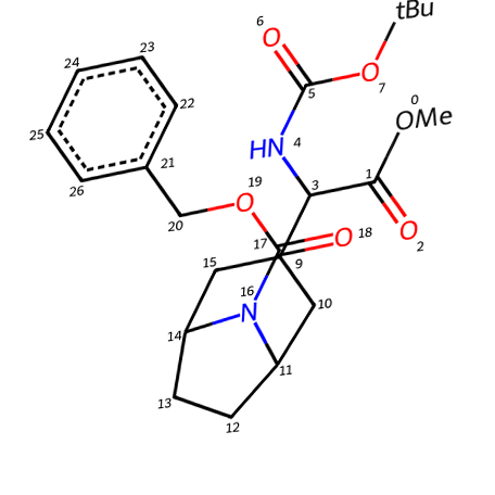 COC(=O)C(NC(=O)OC(C)(C)C)C1CC2CCC(C1)N2C(=O)OCc1ccccc1